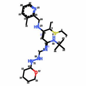 CCSC(C)/C(=C\C(=N/CNNC1CCCCO1)NC(C)(C)C)NCc1ncccc1C